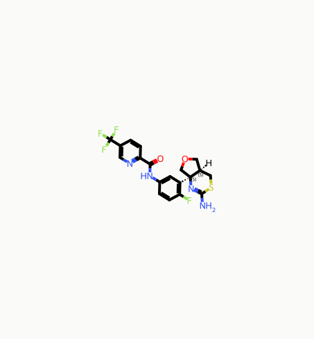 NC1=N[C@@]2(c3cc(NC(=O)c4ccc(C(F)(F)F)cn4)ccc3F)COC[C@H]2CS1